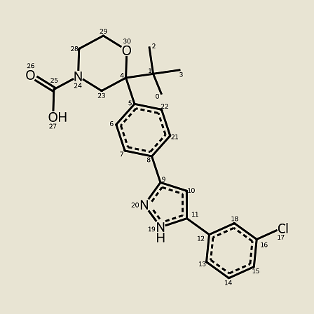 CC(C)(C)C1(c2ccc(-c3cc(-c4cccc(Cl)c4)[nH]n3)cc2)CN(C(=O)O)CCO1